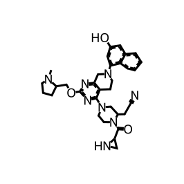 CN1CCCC1COc1nc2c(c(N3CCN(C(=O)C4CN4)C(CC#N)C3)n1)CCN(c1cc(O)cc3ccccc13)C2